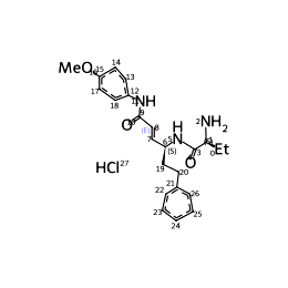 CC[C@H](N)C(=O)N[C@H](/C=C/C(=O)Nc1ccc(OC)cc1)CCc1ccccc1.Cl